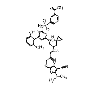 Cc1cccc(C)c1-c1cc(OCC(CC2(C)CC2)NCc2cnc3oc(C(C)C)c(C#N)c3n2)nc(NS(=O)(=O)c2cccc(C(=O)O)c2)n1